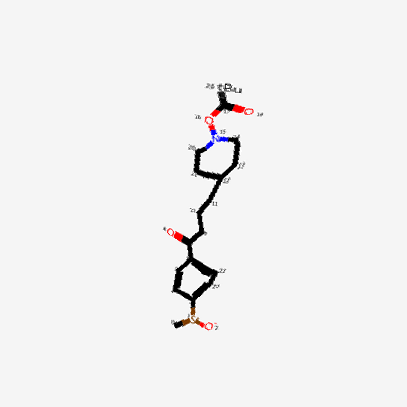 C[S+]([O-])c1ccc(C(=O)CCCC2CCN(OC(=O)C(C)(C)C)CC2)cc1